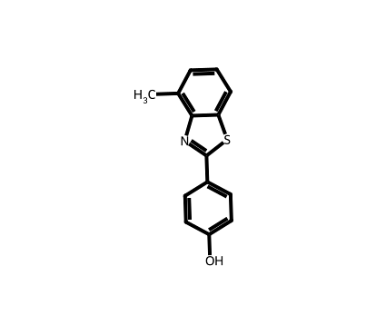 Cc1cccc2sc(-c3ccc(O)cc3)nc12